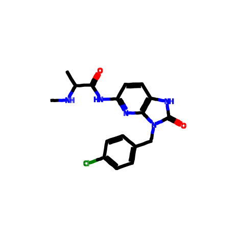 CNC(C)C(=O)Nc1ccc2[nH]c(=O)n(Cc3ccc(Cl)cc3)c2n1